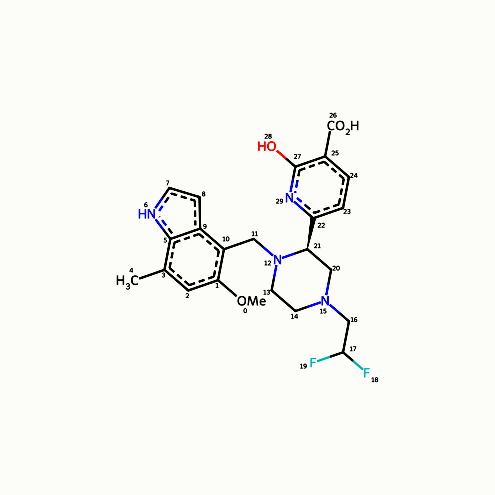 COc1cc(C)c2[nH]ccc2c1CN1CCN(CC(F)F)C[C@@H]1c1ccc(C(=O)O)c(O)n1